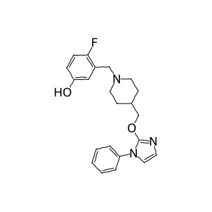 Oc1ccc(F)c(CN2CCC(COc3nccn3-c3ccccc3)CC2)c1